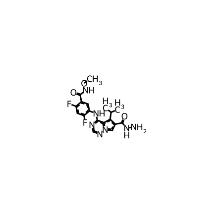 CONC(=O)c1cc(Nc2ncnn3cc(C(=O)NN)c(C(C)C)c23)c(F)cc1F